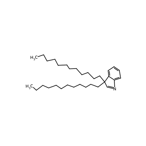 CCCCCCCCCCCCC1(CCCCCCCCCCCC)C=Nc2ccccc21